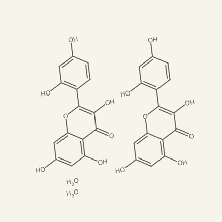 O.O.O=c1c(O)c(-c2ccc(O)cc2O)oc2cc(O)cc(O)c12.O=c1c(O)c(-c2ccc(O)cc2O)oc2cc(O)cc(O)c12